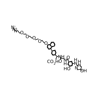 [N-]=[N+]=NCCOCCOCCOCCOCCOc1ccc(-c2ccc(C(CC(=O)O)NC(=O)CNC(=O)c3cc(O)cc(NC4=NCC(O)CN4)c3)cc2)c2ccccc12